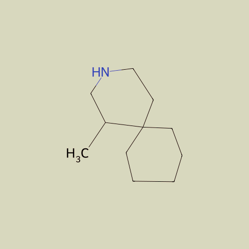 CC1CNCCC12CCCCC2